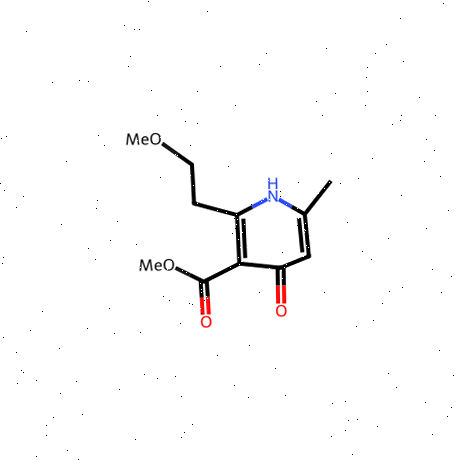 COCCc1[nH]c(C)cc(=O)c1C(=O)OC